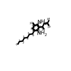 CCCCCCCc1cc(C)c(N)c(C(C)CC(C)C)c1N